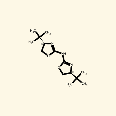 CC(C)(C)[C@H]1COC(NC2=N[C@@H](C(C)(C)C)CO2)=N1